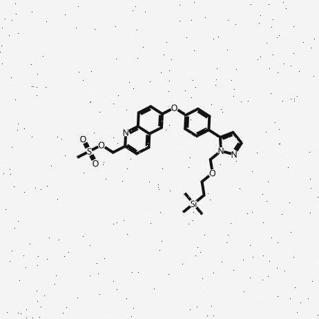 C[Si](C)(C)CCOCn1nccc1-c1ccc(Oc2ccc3nc(COS(C)(=O)=O)ccc3c2)cc1